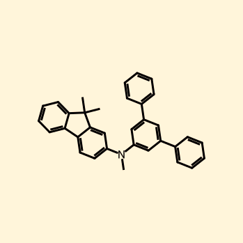 CN(c1cc(-c2ccccc2)cc(-c2ccccc2)c1)c1ccc2c(c1)C(C)(C)c1ccccc1-2